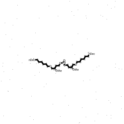 CCCCCCCCCCCCCCCCOC[C@H](CCO[PH](=O)OCC[C@@H](COCCCCCCCCCCCCCCCC)OC)OC